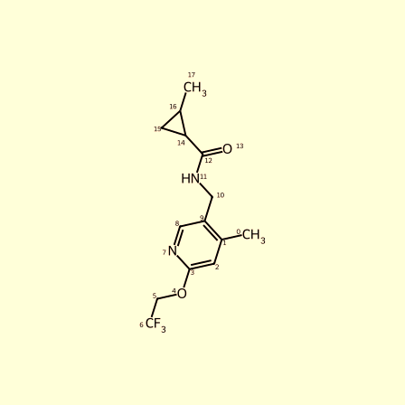 Cc1cc(OCC(F)(F)F)ncc1CNC(=O)C1CC1C